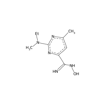 CCN(C)c1nc(C)cc(C(=N)NO)n1